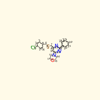 Clc1ccc(CSCc2cc(N3CCOCC3)nc(-c3ccccc3)n2)cc1